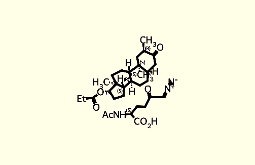 CC(=O)N[C@@H](CCC(=O)C=[N+]=[N-])C(=O)O.CCC(=O)O[C@H]1CC[C@H]2[C@@H]3CC[C@H]4CC(=O)[C@H](C)C[C@]4(C)[C@H]3CC[C@]12C